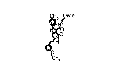 COCCSNC(=O)c1c2c(nn1-c1ccc(C)cn1)CC(CCc1cccc(OCC(F)(F)F)c1)NC2=O